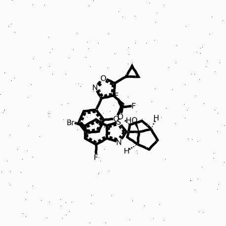 O[C@@]1(c2nc3c(F)cc(Br)cc3s2)[C@@H]2CC[C@H]1C[C@H](OCc1c(-c3ccccc3OC(F)F)noc1C1CC1)C2